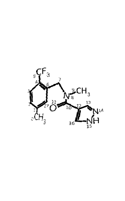 Cc1ccc(C(F)(F)F)c(CN(C)C(=O)c2cn[nH]c2)c1